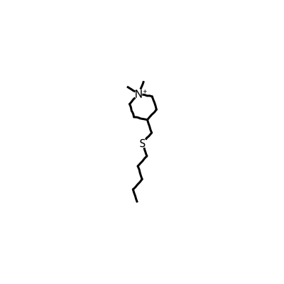 CCCCCSCC1CC[N+](C)(C)CC1